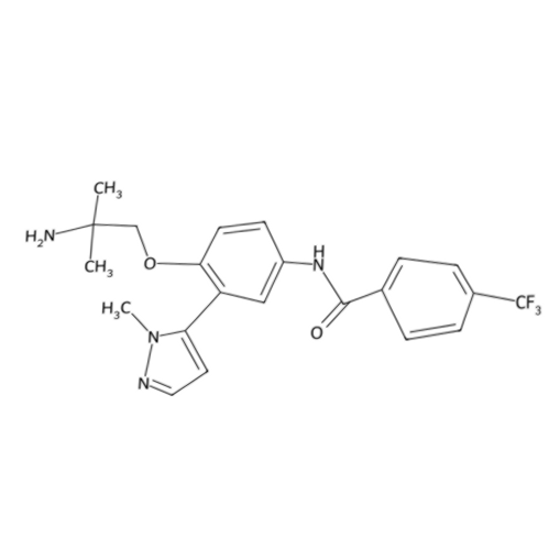 Cn1nccc1-c1cc(NC(=O)c2ccc(C(F)(F)F)cc2)ccc1OCC(C)(C)N